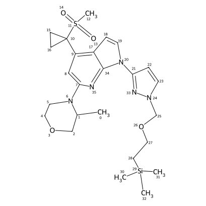 CC1COCCN1c1cc(C2(S(C)(=O)=O)CC2)c2ccn(-c3ccn(COCC[Si](C)(C)C)n3)c2n1